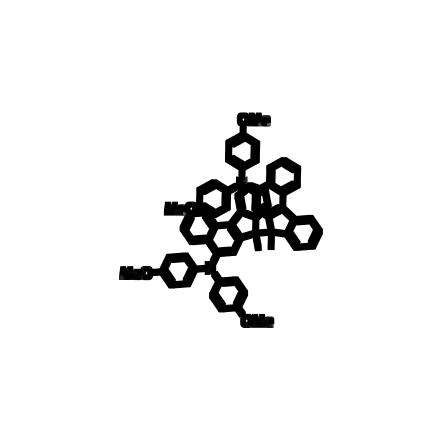 COc1ccc(N(c2ccc(OC)cc2)c2cc3c(c4ccccc24)-c2ccccc2C3(C)C2(C)c3ccccc3-c3c2cc(N(c2ccc(OC)cc2)c2ccc(OC)cc2)c2ccccc32)cc1